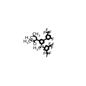 COC(=O)C(CC(C)C)c1cc(-c2cc(F)cc(C(F)(F)F)c2)cc(N(C)c2cc(C(F)(F)F)cc(C(F)(F)F)c2)c1